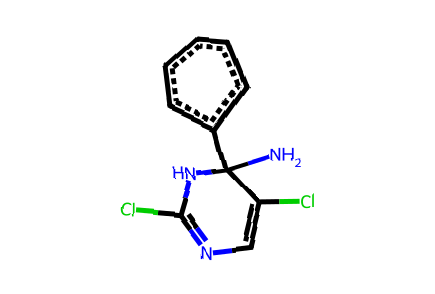 NC1(c2ccccc2)NC(Cl)=NC=C1Cl